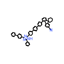 N#Cc1ccc2c(c1)C1(CCCCC1)c1cccc(-c3ccc(-c4ccc(C5=CC=C(C6N=C(c7ccc(-c8ccccc8)cc7)N=C(c7ccccc7)N6)CC5)cc4)cc3)c1-2